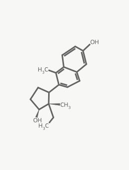 CC[C@@]1(C)C(c2ccc3cc(O)ccc3c2C)CC[C@@H]1O